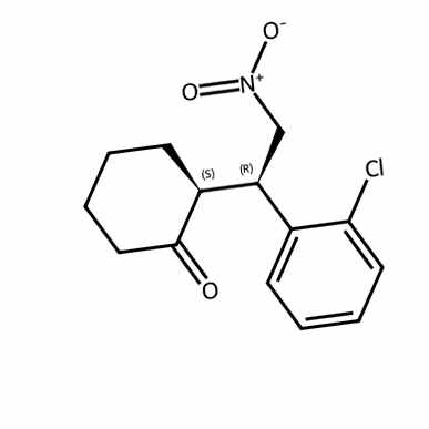 O=C1CCCC[C@H]1[C@@H](C[N+](=O)[O-])c1ccccc1Cl